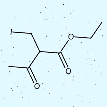 CCOC(=O)C(CI)C(C)=O